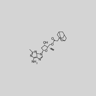 C#C[C@]1(COC(=O)CC23CC4CC(CC(C4)C2)C3)O[C@@H](n2cnc3c(N)nc(C)nc32)C[C@@H]1O